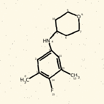 Cc1cc(NC2CCOCC2)cc(C)c1F